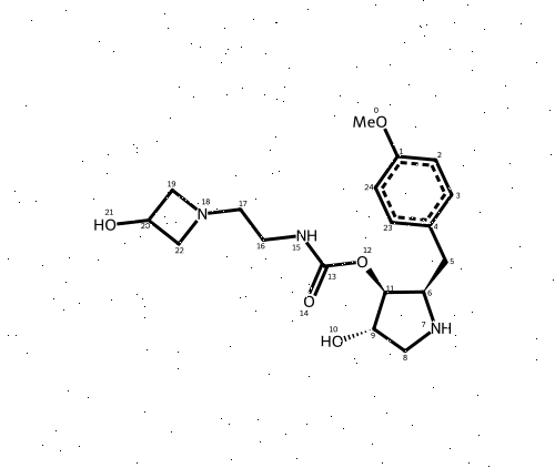 COc1ccc(C[C@H]2NC[C@H](O)[C@H]2OC(=O)NCCN2CC(O)C2)cc1